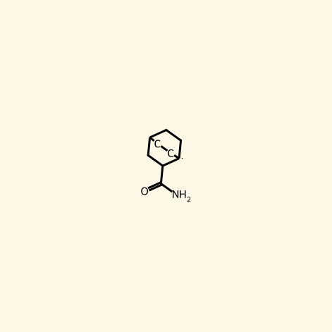 NC(=O)C1CC2CC[C]1CC2